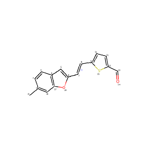 Cc1ccc2cc(/C=C/c3ccc(C=O)s3)oc2c1